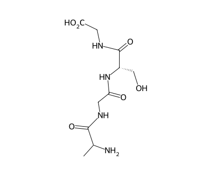 CC(N)C(=O)NCC(=O)N[C@@H](CO)C(=O)NCC(=O)O